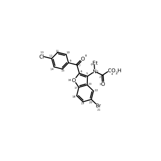 CCN(C(=O)C(=O)O)c1c(C(=O)c2ccc(Cl)cc2)oc2ccc(Br)cc12